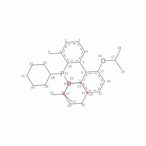 Cc1cccc(-c2c(OC(C)C)cccc2OC(C)C)c1P(C1CCCCC1)C1CCCCC1